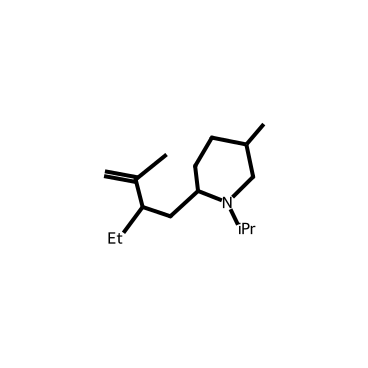 C=C(C)C(CC)CC1CCC(C)CN1C(C)C